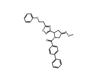 CON=C1CC(c2noc(CCOc3ccccc3)n2)N(C(=O)c2ccc(-c3ccccc3)cc2)C1